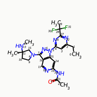 CCc1cc(-n2nc(N3CCC(C)(NC)C3)c3cnc(NC(C)=O)cc32)nc(C(C)(F)F)n1